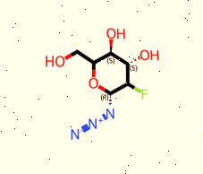 [N-]=[N+]=N[C@@H]1OC(CO)[C@@H](O)[C@H](O)C1F